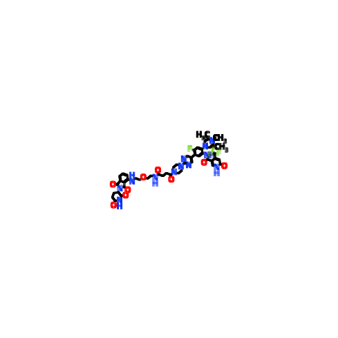 C[C@@H]1CN(c2cc(F)c(-c3cnc(N4CCN(C(=O)CCC(=O)NCCOCCNc5cccc6c5C(=O)N(C5CCC(=O)NC5=O)C6=O)CC4)nc3)cc2NC(=O)c2c[nH]c(=O)cc2C(F)(F)F)C[C@H](C)N1C